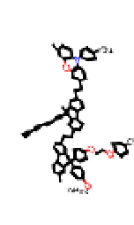 C#CC#CC#CC#CC1(C)c2cc(CCc3ccc4c(c3)Oc3cc(C)ccc3N4c3ccc(CCCC)cc3)ccc2-c2ccc(CCc3ccc4c(c3)C(c3ccc(OCCCCCC)cc3)(c3ccc(OCCOc5ccc(C=O)cc5)cc3)c3cc(C)ccc3-4)cc21